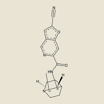 C[C@H]1[C@H](NC(=O)c2cc3oc(C#N)cc3cn2)C2CCN1CC2